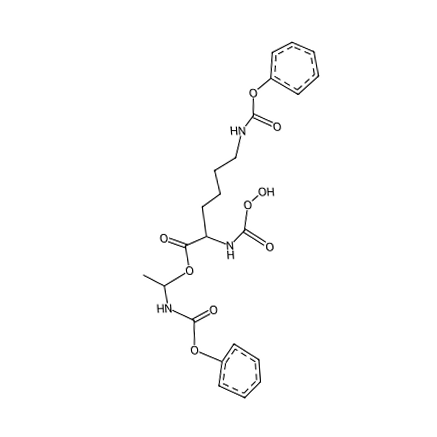 CC(NC(=O)Oc1ccccc1)OC(=O)C(CCCCNC(=O)Oc1ccccc1)NC(=O)OO